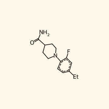 CCc1ccc(N2CCC(C(N)=O)CC2)c(F)c1